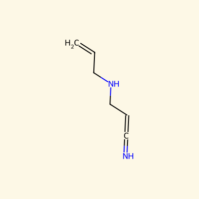 C=CCNCC=C=N